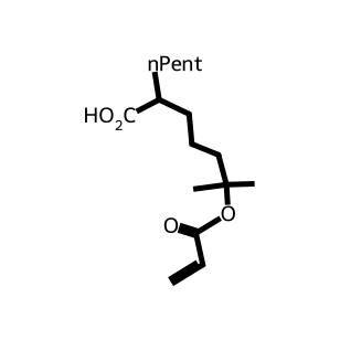 C=CC(=O)OC(C)(C)CCCC(CCCCC)C(=O)O